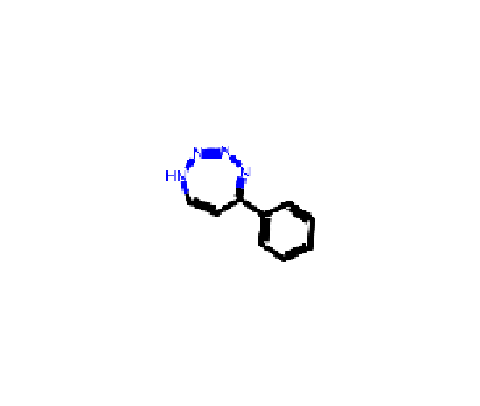 C1=CC(c2ccccc2)=NN=NN1